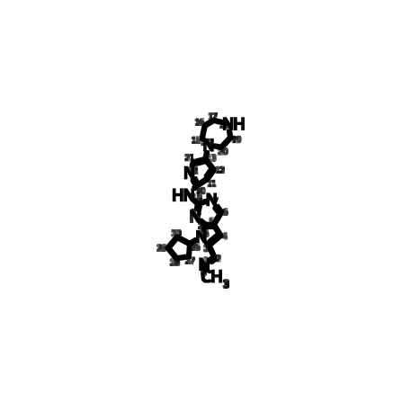 C/N=C/c1cc2cnc(Nc3ccc(N4CCCNCC4)cn3)nc2n1C1CCCC1